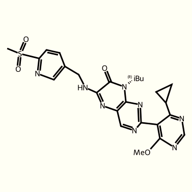 CC[C@@H](C)n1c(=O)c(NCc2ccc(S(C)(=O)=O)nc2)nc2cnc(-c3c(OC)ncnc3C3CC3)nc21